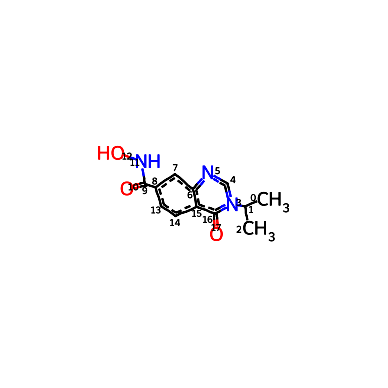 CC(C)n1cnc2cc(C(=O)NO)ccc2c1=O